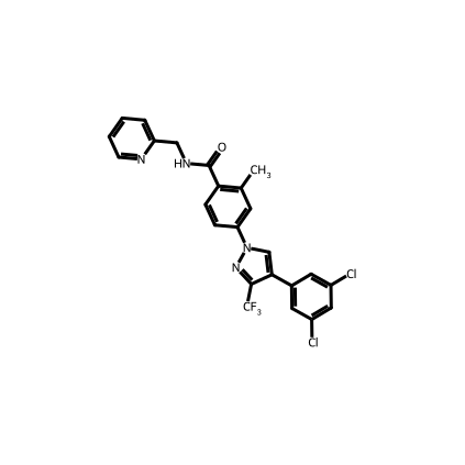 Cc1cc(-n2cc(-c3cc(Cl)cc(Cl)c3)c(C(F)(F)F)n2)ccc1C(=O)NCc1ccccn1